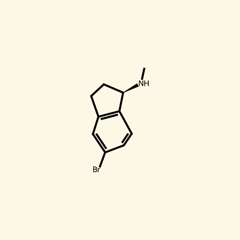 CN[C@@H]1CCc2cc(Br)ccc21